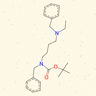 CCN(CCCCN(Cc1ccccc1)C(=O)OC(C)(C)C)Cc1ccccc1